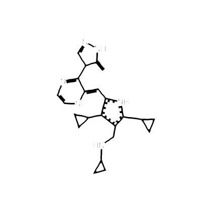 O=C1NN=CC1C1=NC=CNC1=Cc1[nH]c(C2CC2)c(CNC2CC2)c1C1CC1